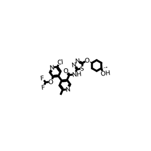 Cc1cc(-c2cc(Cl)ncc2OC(F)F)c(C(=O)Nc2nnc(O[C@H]3CC[C@](C)(O)CC3)s2)cn1